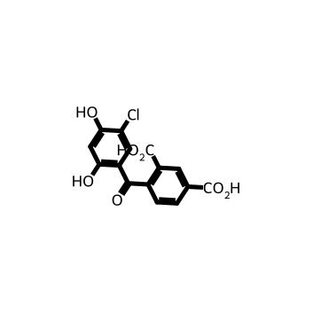 O=C(O)c1ccc(C(=O)c2cc(Cl)c(O)cc2O)c(C(=O)O)c1